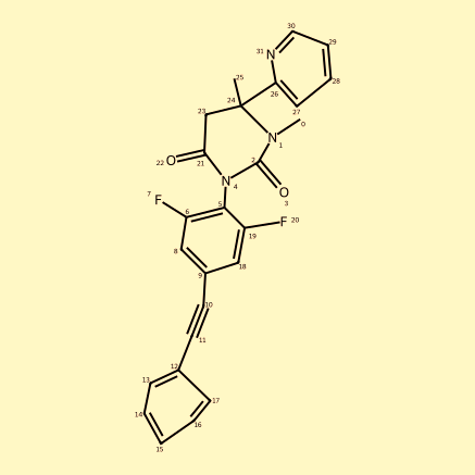 CN1C(=O)N(c2c(F)cc(C#Cc3ccccc3)cc2F)C(=O)CC1(C)c1ccccn1